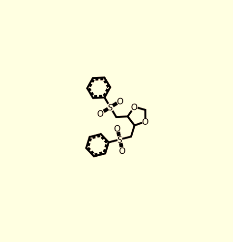 O=S(=O)(CC1OCOC1CS(=O)(=O)c1ccccc1)c1ccccc1